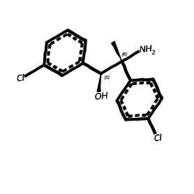 C[C@@](N)(c1ccc(Cl)cc1)[C@@H](O)c1cccc(Cl)c1